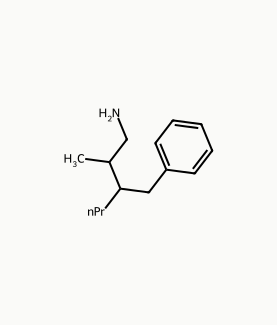 CCCC(Cc1ccccc1)C(C)CN